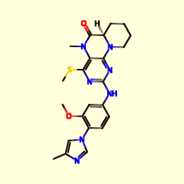 COc1cc(Nc2nc(SC)c3c(n2)N2CCCC[C@@H]2C(=O)N3C)ccc1-n1cnc(C)c1